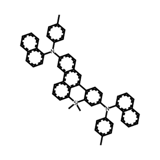 Cc1ccc(N(c2ccc3c(c2)[Si](C)(C)c2cccc4c2c-3cc2ccc(N(c3ccc(C)cc3)c3cccc5ccccc35)cc24)c2cccc3ccccc23)cc1